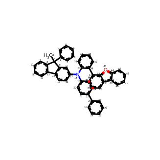 CC1(c2ccccc2)c2ccccc2-c2ccc(N(c3ccc(-c4ccccc4)cc3)c3ccccc3-c3cccc4c3oc3ccccc34)cc21